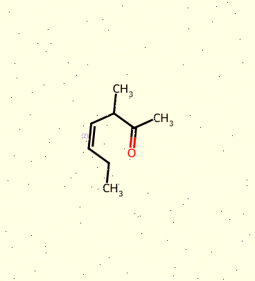 CC/C=C\C(C)C(C)=O